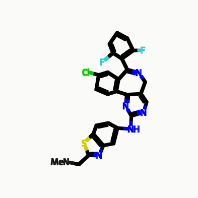 CNCc1nc2cc(Nc3ncc4c(n3)-c3ccc(Cl)cc3C(c3c(F)cccc3F)=NC4)ccc2s1